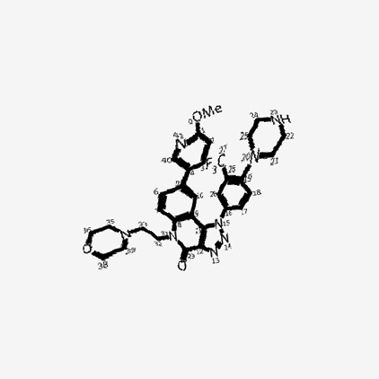 COc1ccc(-c2ccc3c(c2)c2c(nnn2-c2ccc(N4CCNCC4)c(C(F)(F)F)c2)c(=O)n3CCN2CCOCC2)cn1